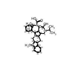 CC(C)N(Cc1c(CN(C(=O)O)C(C)C)c(-c2ccccc2)n2c1Cc1c(n(C)c3ccccc13)C2)C(=O)O